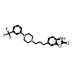 O=c1[nH]c2ccc(CCCN3CCN(c4cccc(C(F)(F)F)c4)CC3)cc2o1